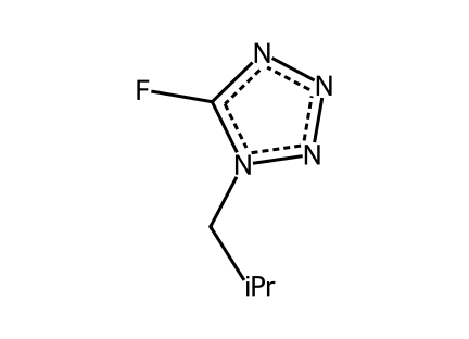 CC(C)Cn1nnnc1F